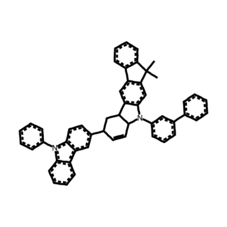 CC1(C)c2ccccc2-c2cc3c(cc21)N(c1cccc(-c2ccccc2)c1)C1C=CC(c2ccc4c(c2)c2ccccc2n4-c2ccccc2)CC31